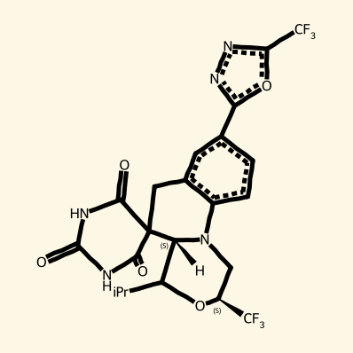 CC(C)C1O[C@H](C(F)(F)F)CN2c3ccc(-c4nnc(C(F)(F)F)o4)cc3CC3(C(=O)NC(=O)NC3=O)[C@@H]12